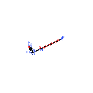 [N-]=[N+]=NCCOCCOCCOCCOCCOCCOCCC(=O)NCCCCn1nc(-c2ccc3oc(N)nc3c2)c2c(N)ncnc21